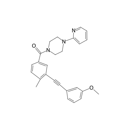 COc1cccc(C#Cc2cc(C(=O)N3CCN(c4ccccn4)CC3)ccc2C)c1